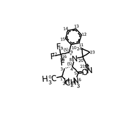 CC(C)C[C@@H](C(N)=O)N([C@@H](c1ccccc1)C(F)(F)F)C1(C#N)CC1